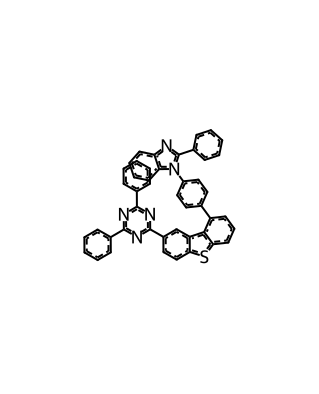 c1ccc(-c2nc(-c3ccccc3)nc(-c3ccc4sc5cccc(-c6ccc(-n7c(-c8ccccc8)nc8ccccc87)cc6)c5c4c3)n2)cc1